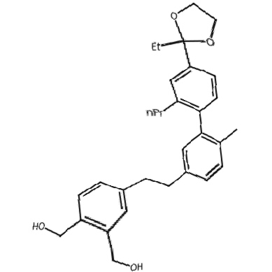 CCCc1cc(C2(CC)OCCO2)ccc1-c1cc(CCc2ccc(CO)c(CO)c2)ccc1C